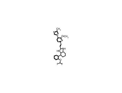 COc1nc(C=CC2NC3C(c4ccccc4OC(F)F)CCCN3N2)ccc1-n1cnc(C)c1